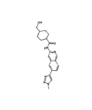 Cn1cc(-c2ccc3cnc(NC(=O)C4CCC(CO)CC4)cc3c2)nn1